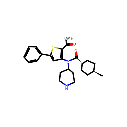 COC(=O)c1sc(-c2ccccc2)cc1N(C(=O)[C@H]1CC[C@H](C)CC1)C1CCNCC1